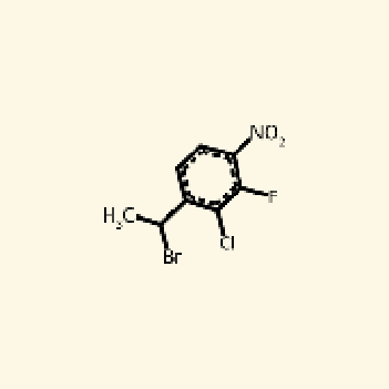 CC(Br)c1ccc([N+](=O)[O-])c(F)c1Cl